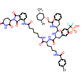 CCc1ccc(C(=O)NCCCC[C@H](NC(=O)[C@H](Cc2ccc(C(F)(F)P(=O)(O)O)cc2)NC(=O)[C@H](Cc2ccccc2)NC(=O)CO[C@H]2C[C@@H](C)CC[C@@H]2C(C)C)C(=O)NCCCCCC(=O)Nc2cccc3c2C(=O)N(C2CCC(=O)NC2=O)C3=O)cc1